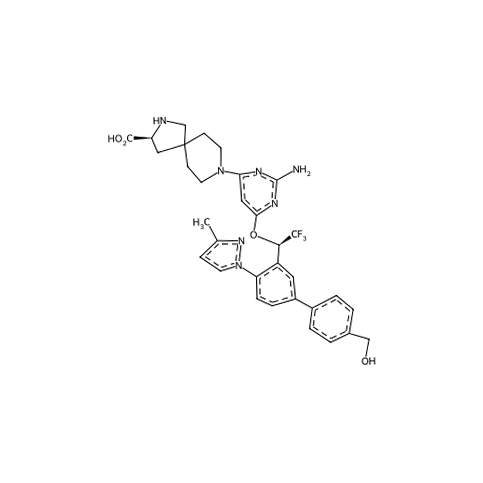 Cc1ccn(-c2ccc(-c3ccc(CO)cc3)cc2[C@@H](Oc2cc(N3CCC4(CC3)CN[C@H](C(=O)O)C4)nc(N)n2)C(F)(F)F)n1